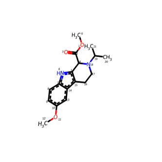 COC(=O)C1c2[nH]c3ccc(OC)cc3c2CCN1C(C)C